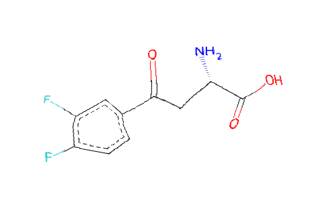 N[C@@H](CC(=O)c1ccc(F)c(F)c1)C(=O)O